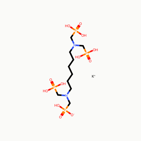 O=P([O-])(O)CN(CCCCCCN(CP(=O)(O)O)CP(=O)(O)O)CP(=O)(O)O.[K+]